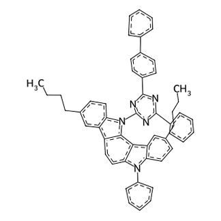 CCCCc1ccc2c(c1)c1c(ccc3c4cc(CCCC)ccc4n(-c4nc(-c5ccccc5)nc(-c5ccc(-c6ccccc6)cc5)n4)c31)n2-c1ccccc1